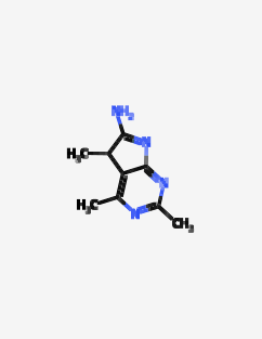 Cc1nc(C)c2c(n1)N=C(N)C2C